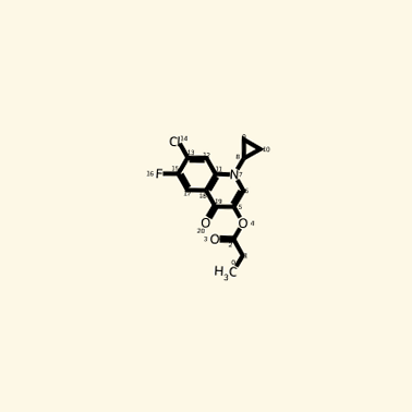 CCC(=O)Oc1cn(C2CC2)c2cc(Cl)c(F)cc2c1=O